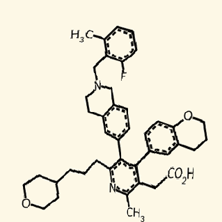 Cc1cccc(F)c1CN1CCc2cc(-c3c(CCCC4CCOCC4)nc(C)c(CC(=O)O)c3-c3ccc4c(c3)CCCO4)ccc2C1